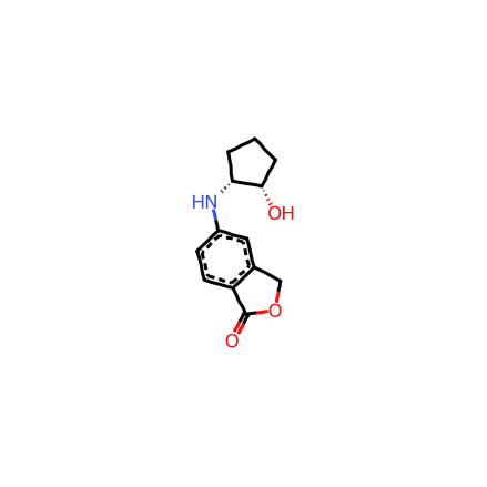 O=C1OCc2cc(N[C@@H]3CCC[C@@H]3O)ccc21